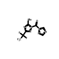 CC(C)(C)c1nc(C(F)(F)C(F)(F)F)nn1C(=O)n1cncn1